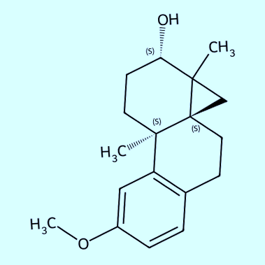 COc1ccc2c(c1)[C@@]1(C)CC[C@H](O)C3(C)C[C@]31CC2